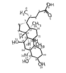 C[C@H](CCC(=O)O)[C@H]1CC[C@H]2[C@@H]3[C@H](O)C[C@@H]4[C@@H](O)[C@H](O)CC[C@]4(C)[C@H]3CC[C@]12C